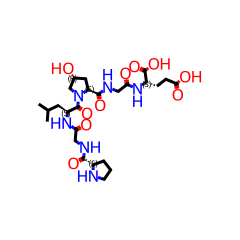 CC(C)C[C@H](NC(=O)CNC(=O)[C@@H]1CCCN1)C(=O)N1C[C@H](O)C[C@H]1C(=O)NCC(=O)N[C@@H](CCC(=O)O)C(=O)O